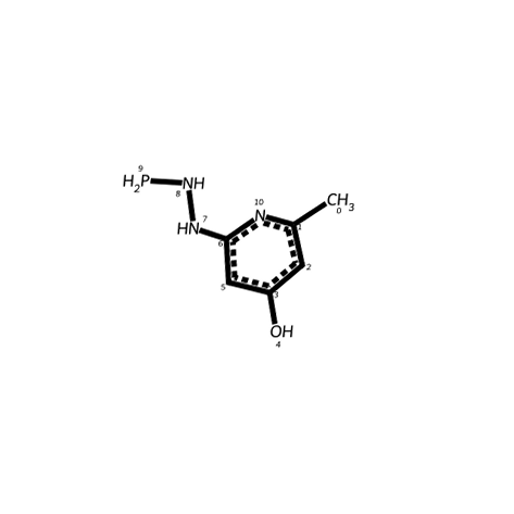 Cc1cc(O)cc(NNP)n1